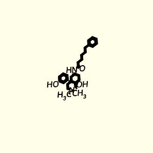 C[N+]1(C)CC[C@@]2(c3cccc(O)c3)C[C@H](NC(=O)CCCCCc3ccccc3)CC[C@]2(O)C1